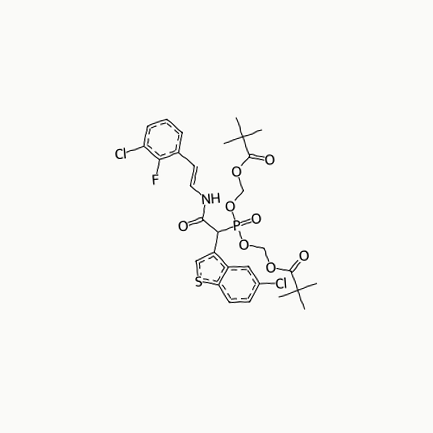 CC(C)(C)C(=O)OCOP(=O)(OCOC(=O)C(C)(C)C)C(C(=O)NC=Cc1cccc(Cl)c1F)c1csc2ccc(Cl)cc12